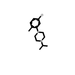 Cc1ccc(Cl)cc1N1CCN(C(C)C)CC1